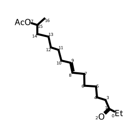 CCC(=O)CCCCCC=CCCCCCC(C)OC(C)=O